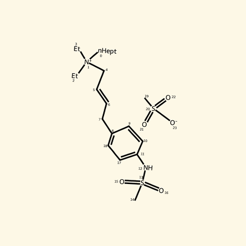 CCCCCCC[N+](CC)(CC)C/C=C/Cc1ccc(NS(C)(=O)=O)cc1.CS(=O)(=O)[O-]